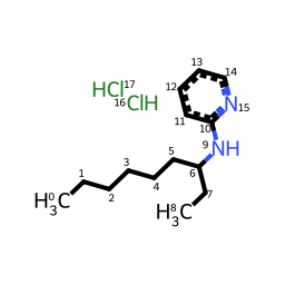 CCCCCCC(CC)Nc1ccccn1.Cl.Cl